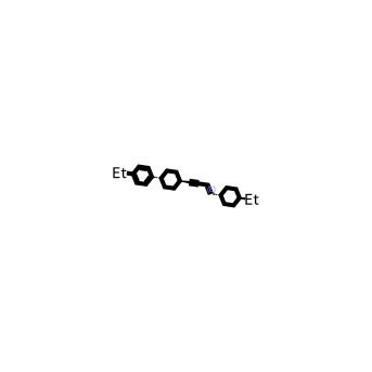 CCc1ccc([C@H]2CC[C@H](C#C/C=C/[C@H]3CC[C@H](CC)CC3)CC2)cc1